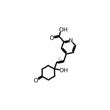 O=C1CCC(O)(/C=C/c2ccnc(C(=O)O)c2)CC1